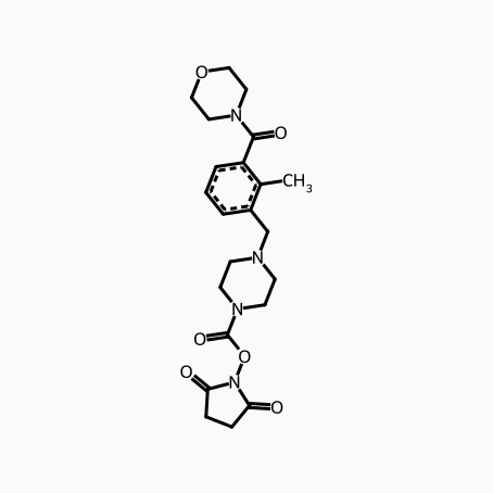 Cc1c(CN2CCN(C(=O)ON3C(=O)CCC3=O)CC2)cccc1C(=O)N1CCOCC1